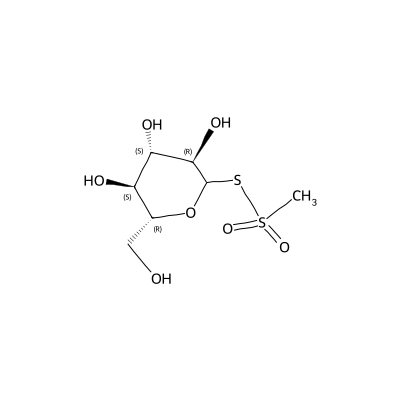 CS(=O)(=O)SC1O[C@H](CO)[C@@H](O)[C@H](O)[C@H]1O